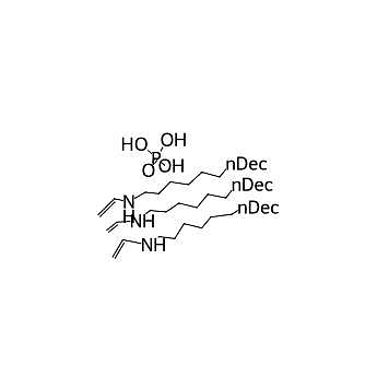 C=CNCCCCCCCCCCCCCCCC.C=CNCCCCCCCCCCCCCCCC.C=CNCCCCCCCCCCCCCCCC.O=P(O)(O)O